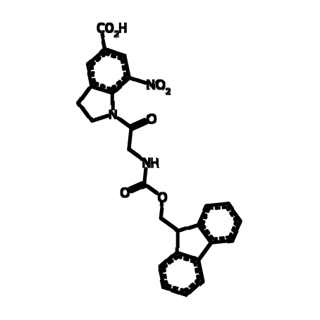 O=C(NCC(=O)N1CCc2cc(C(=O)O)cc([N+](=O)[O-])c21)OCC1c2ccccc2-c2ccccc21